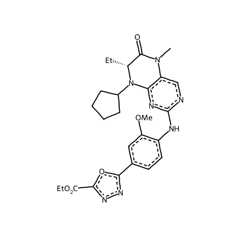 CCOC(=O)c1nnc(-c2ccc(Nc3ncc4c(n3)N(C3CCCC3)[C@H](CC)C(=O)N4C)c(OC)c2)o1